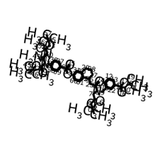 CC(C)(C)OC(=O)CN(Cc1cccc(C(=O)OC(C)(C)C)c1)C(=O)CC1CCCc2cc(OC(=O)c3ccc(N(C(=O)OC(C)(C)C)C(N)=NC(=O)OC(C)(C)C)cc3)ccc21